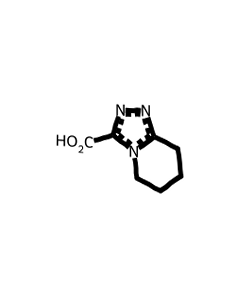 O=C(O)c1nnc2n1CCCC2